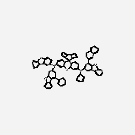 c1ccc(-c2cc(N(c3ccc4c(c3)Sc3cc(N(c5ccccc5)c5cc(-c6ccc7ccccc7c6)c6oc7ccccc7c6c5)ccc3C43c4ccccc4-c4ccccc43)c3ccc4sc5ccccc5c4c3)cc3oc4ccccc4c23)cc1